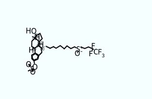 C[C@]12CC[C@@H]3c4ccc(OS(C)(=O)=O)cc4C[C@@H](CCCCCCCCC[S+]([O-])CCCC(F)(F)C(F)(F)F)[C@H]3[C@@H]1CC[C@@H]2O